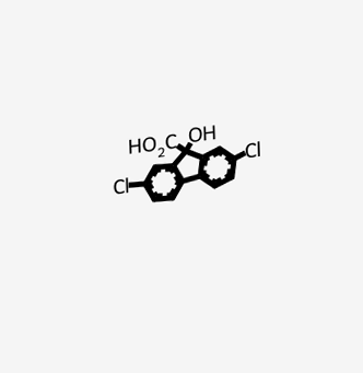 O=C(O)C1(O)c2cc(Cl)ccc2-c2ccc(Cl)cc21